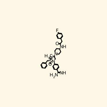 C[C@H](CN(c1ccc(C(=N)N)cc1)S(=O)(=O)Cc1ccccc1)N1CCC(NC(=O)Cc2ccc(F)cc2)CC1